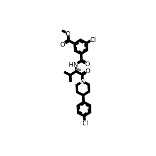 COC(=O)c1cc(Cl)cc(C(=O)N[C@@H](C(=O)N2CCC(c3ccc(Cl)cc3)CC2)C(C)C)c1